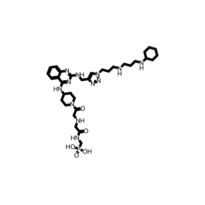 O=C(CNCC(=O)N1CCC(Nc2nc(NCc3cn(CCCNCCCNC4CCCCC4)nn3)nc3ccccc23)CC1)NCP(=O)(O)O